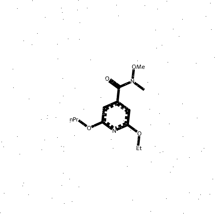 CCCOc1cc(C(=O)N(C)OC)cc(OCC)n1